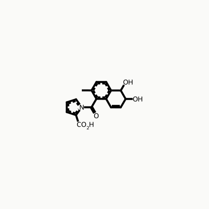 Cc1ccc2c(c1C(=O)n1cccc1C(=O)O)C=CC(O)C2O